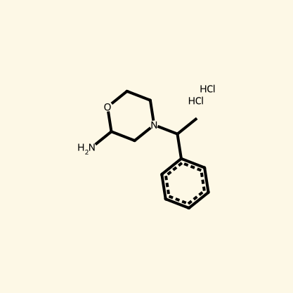 CC(c1ccccc1)N1CCOC(N)C1.Cl.Cl